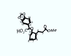 COC(=O)CCc1ccccc1OC(C(=O)O)c1ccc2c(c1)OCO2